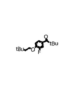 CC(C)(C)CCOc1ccc(C(=O)C(C)(C)C)cc1F